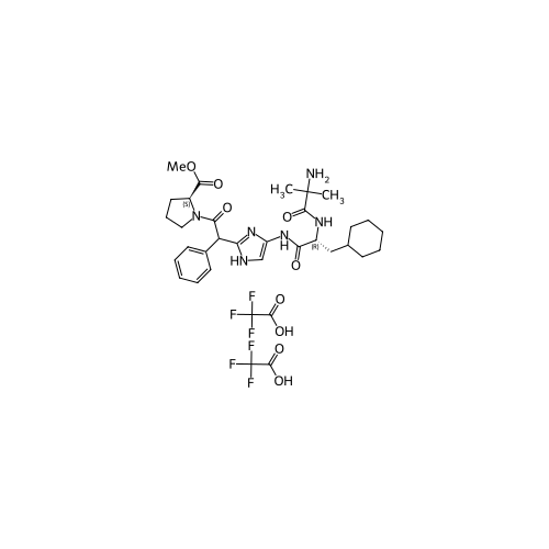 COC(=O)[C@@H]1CCCN1C(=O)C(c1ccccc1)c1nc(NC(=O)[C@@H](CC2CCCCC2)NC(=O)C(C)(C)N)c[nH]1.O=C(O)C(F)(F)F.O=C(O)C(F)(F)F